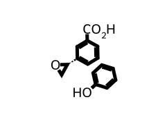 O=C(O)c1cccc([C@@H]2CO2)c1.Oc1ccccc1